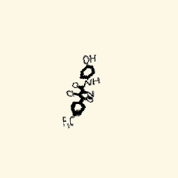 O=C(N[C@H]1CC[C@@H](O)CC1)c1noc(-c2ccc(C(F)(F)F)cc2)c1Cl